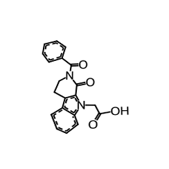 O=C(O)Cn1c2c(c3ccccc31)CCN(C(=O)c1ccccc1)C2=O